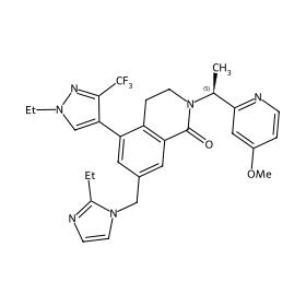 CCc1nccn1Cc1cc2c(c(-c3cn(CC)nc3C(F)(F)F)c1)CCN([C@@H](C)c1cc(OC)ccn1)C2=O